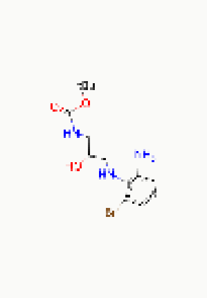 CC(C)(C)OC(=O)NCC(O)CNc1c(N)cccc1Br